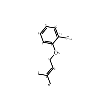 CC(C)=CCOc1ccccc1F